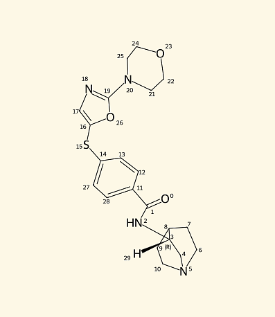 O=C(N[C@H]1CN2CCC1CC2)c1ccc(Sc2cnc(N3CCOCC3)o2)cc1